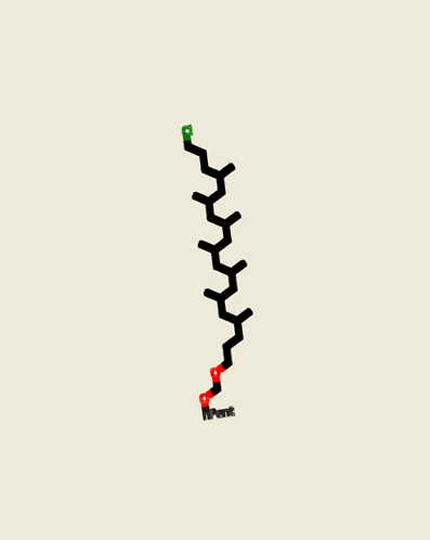 CCCCCOCOCCCC(C)CC(C)CC(C)CC(C)CC(C)CC(C)CC(C)CCCCl